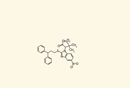 CC(C)(C)C(C(=O)O)n1c(SCCC(c2ccccc2)c2ccccc2)nc2cc([N+](=O)[O-])ccc21